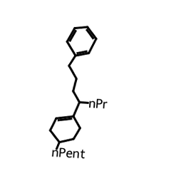 CCCCCC1CC=C(C(CCC)CCCc2ccccc2)CC1